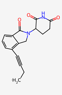 [CH2]CC#Cc1cccc2c1CN(C1CCC(=O)NC1=O)C2=O